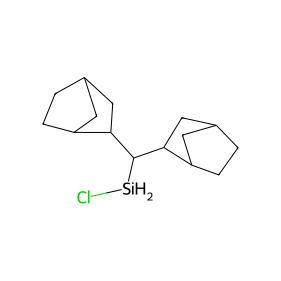 Cl[SiH2]C(C1CC2CCC1C2)C1CC2CCC1C2